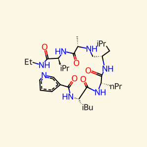 CCC[C@H](NC(=O)[C@@H](NC(=O)c1cccnc1)[C@@H](C)CC)C(=O)N[C@H](CN[C@@H](C)C(=O)N[C@H](C(=O)NCC)C(C)C)CC(C)C